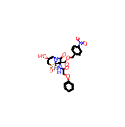 O=C(COc1ccccc1)NC1(C(=O)OCc2ccc([N+](=O)[O-])cc2)C(=O)N2C=C(O)C[S+]([O-])[C@H]21